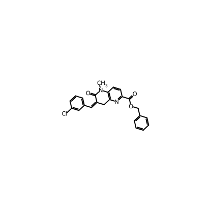 CN1C(=O)/C(=C\c2cccc(Cl)c2)Cc2nc(C(=O)OCc3ccccc3)ccc21